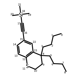 CCCCC1(CCCC)CCSc2ccc(C#C[Si](C)(C)C)cc21